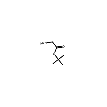 CN[CH]C(=O)OC(C)(C)C